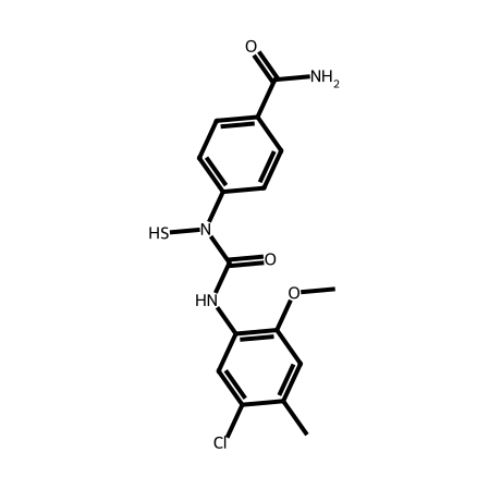 COc1cc(C)c(Cl)cc1NC(=O)N(S)c1ccc(C(N)=O)cc1